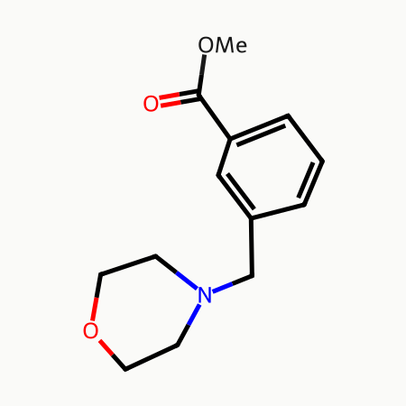 COC(=O)c1cccc(CN2CCOCC2)c1